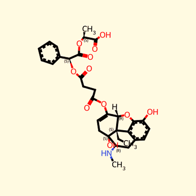 CC[C@]12c3c4ccc(O)c3O[C@H]1C(OC(=O)CCC(=O)O[C@H](C(=O)O[C@@H](C)C(=O)O)c1ccccc1)=CC[C@@]2(O)[C@H](NC)C4